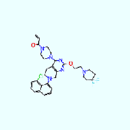 C=CC(=O)N1CCN(c2nc(OCCN3CCC(F)(F)CC3)nc3c2CCN(c2cccc4cccc(Cl)c24)C3)CC1